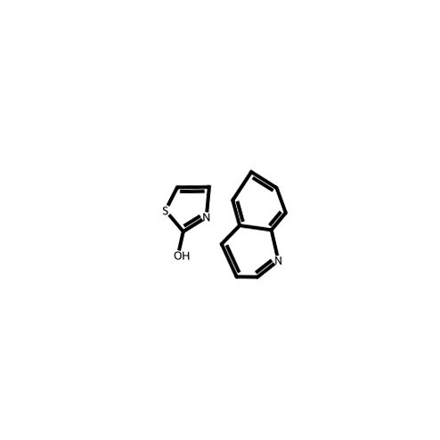 Oc1nccs1.c1ccc2ncccc2c1